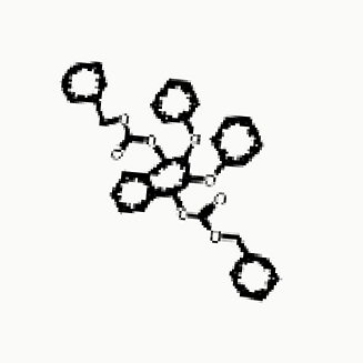 O=C(OCc1ccccc1)Oc1c(Oc2ccccc2)c(Oc2ccccc2)c(OC(=O)OCc2ccccc2)c2ccccc12